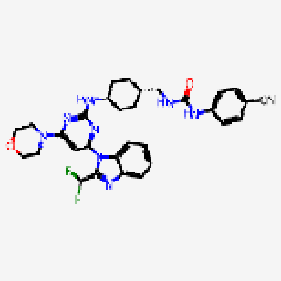 N#Cc1ccc(NC(=O)NC[C@H]2CC[C@H](Nc3nc(N4CCOCC4)cc(-n4c(C(F)F)nc5ccccc54)n3)CC2)cc1